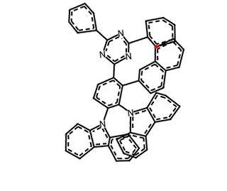 c1ccc(-c2nc(-c3ccccc3)nc(-c3ccc(-n4c5ccccc5c5ccccc54)c(-n4c5ccccc5c5ccccc54)c3-c3ccc4ccccc4c3)n2)cc1